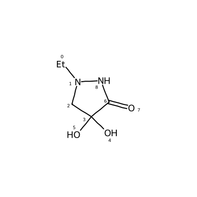 CCN1CC(O)(O)C(=O)N1